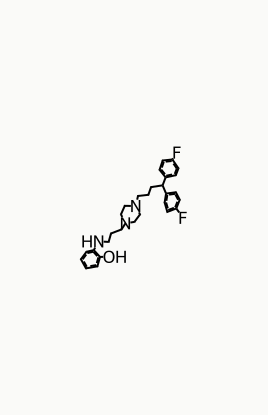 Oc1ccccc1NCCCN1CCN(CCCC(c2ccc(F)cc2)c2ccc(F)cc2)CC1